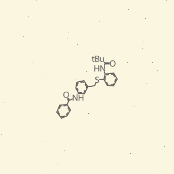 CC(C)(C)C(=O)Nc1ccccc1SCc1cccc(NC(=O)c2ccccc2)c1